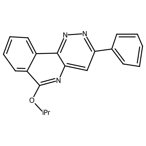 CC(C)Oc1nc2cc(-c3ccccc3)nnc2c2ccccc12